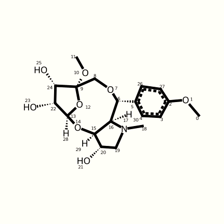 COc1ccc([C@H]2OC[C@@]3(OC)O[C@@H](O[C@H]4[C@@H]2N(C)C[C@@H]4O)[C@H](O)[C@@H]3O)cc1